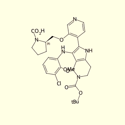 COc1c(Cl)cccc1Nc1c(-c2ccncc2OC[C@H]2CCCN2C(=O)O)[nH]c2c1C(=O)N(C(=O)OC(C)(C)C)CC2